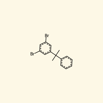 CC(C)(c1ccccc1)c1cc(Br)cc(Br)c1